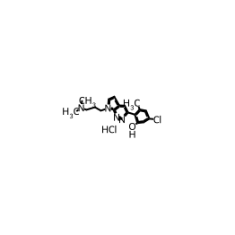 Cc1cc(Cl)cc(O)c1-c1cc2ccn(CCCN(C)C)c2nn1.Cl